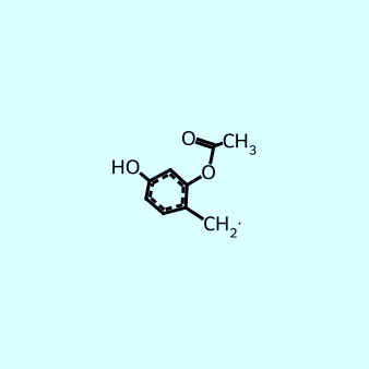 [CH2]c1ccc(O)cc1OC(C)=O